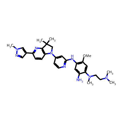 COc1cc(N(C)CCN(C)C)c(N)cc1Nc1cc(N2CC(C)(C)c3nc(-c4cnn(C)c4)ccc32)ccn1